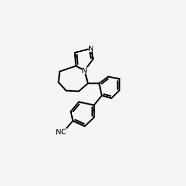 N#Cc1ccc(-c2ccccc2C2CCCCc3cncn32)cc1